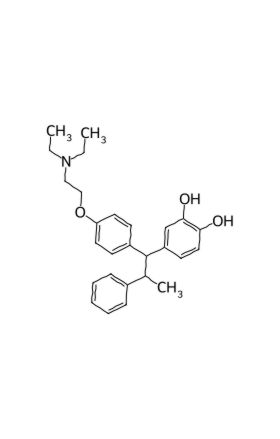 CCN(CC)CCOc1ccc(C(c2ccc(O)c(O)c2)C(C)c2ccccc2)cc1